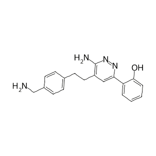 NCc1ccc(CCc2cc(-c3ccccc3O)nnc2N)cc1